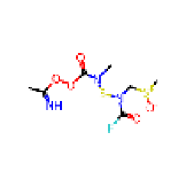 CC(=N)OOC(=O)N(C)SN(C[S+](C)[O-])C(=O)F